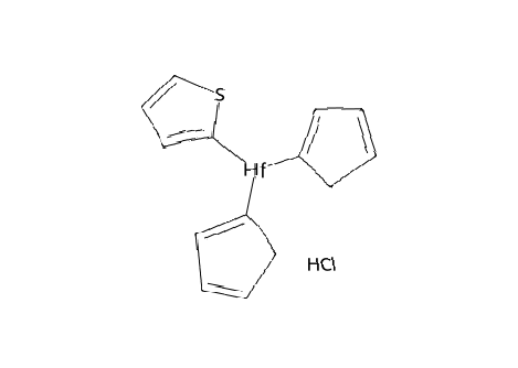 C1=CC[C]([Hf]([C]2=CC=CC2)[c]2cccs2)=C1.Cl